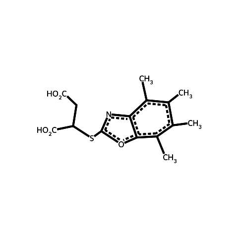 Cc1c(C)c(C)c2oc(SC(CC(=O)O)C(=O)O)nc2c1C